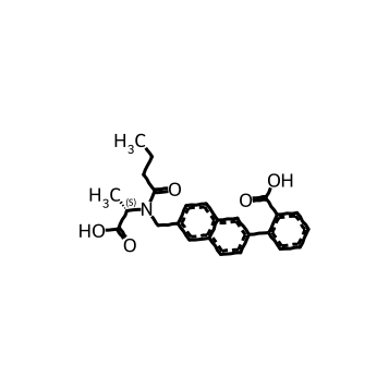 CCCC(=O)N(Cc1ccc2cc(-c3ccccc3C(=O)O)ccc2c1)[C@@H](C)C(=O)O